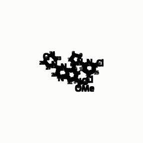 COC(=O)c1cc(C2CCCN2c2cc(Cl)cc(Cl)n2)c2nc(N3CCOCC3)cnc2c1